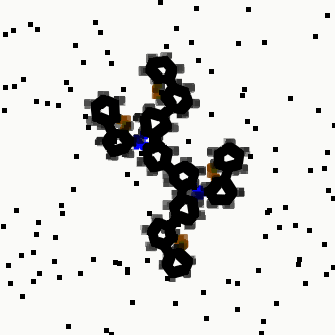 c1ccc2c(c1)sc1c(-c3ccc4c(c3)c3cc(-c5ccc6c(c5)c5cc(-c7cccc8c7sc7ccccc78)ccc5n6-c5cccc6c5sc5ccccc56)ccc3n4-c3cccc4c3sc3ccccc34)cccc12